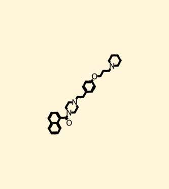 O=C(c1cccc2ccccc12)N1CCN(CCc2ccc(OCCCN3CCCCC3)cc2)CC1